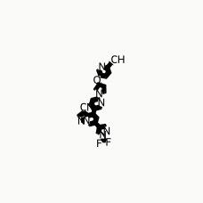 C#Cc1ccc(O[C@H]2CCN(c3ccc(-c4cc(-c5cnn(C(F)F)c5)cn5ncc(C#N)c45)cn3)C2)cn1